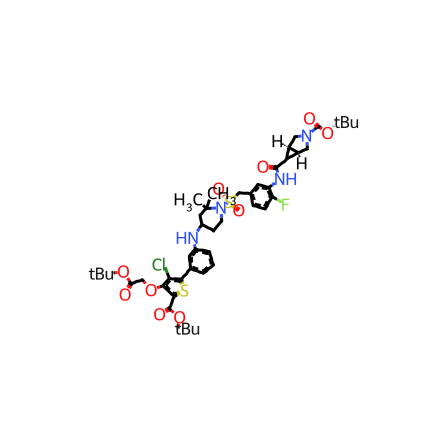 CC(C)(C)OC(=O)COc1c(C(=O)OC(C)(C)C)sc(-c2cccc(NC3CCN(S(=O)(=O)Cc4ccc(F)c(NC(=O)C5[C@H]6CN(C(=O)OC(C)(C)C)C[C@@H]56)c4)C(C)(C)C3)c2)c1Cl